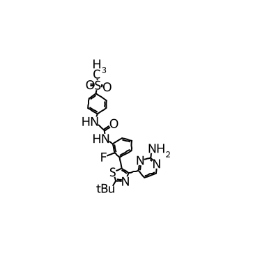 CC(C)(C)c1nc(-c2ccnc(N)n2)c(-c2cccc(NC(=O)Nc3ccc(S(C)(=O)=O)cc3)c2F)s1